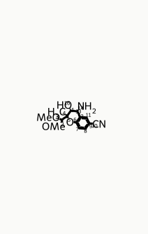 COC(OC)[C@@]1(C)Oc2ccc(C#N)cc2[C@H](N)[C@H]1O